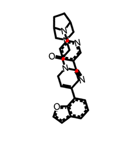 N#Cc1ccc(N2C3CCC2CN(CC(=O)N2CC=C(c4cccc5ccoc45)CC2)C3)nc1